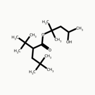 CC(O)CC(C)(C)OC(=O)C(CC(C)(C)C)C(C)(C)C